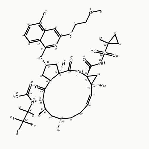 COCCOc1cc2c(Cl)cccc2c(O[C@@H]2C[C@H]3C(=O)N[C@]4(C(=O)NS(=O)(=O)C5(C)CC5)C[C@H]4C=CCC[C@H](C)C[C@@H](C)[C@H](N(C(=O)O)C(C)(C)C(F)(F)F)C(=O)N3C2)n1